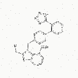 CCOC(=O)c1cccc2nc(SCC)n(Cc3ccc(-c4ccccc4-c4nnn[nH]4)cc3)c12